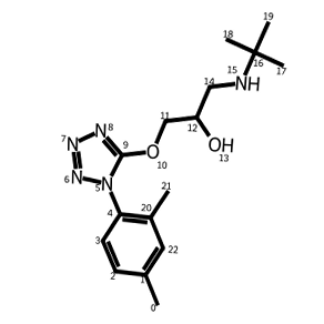 Cc1ccc(-n2nnnc2OCC(O)CNC(C)(C)C)c(C)c1